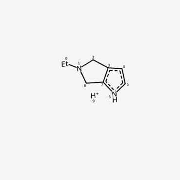 [CH2]CN1Cc2cc[nH]c2C1.[H+]